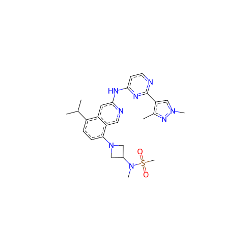 Cc1nn(C)cc1-c1nccc(Nc2cc3c(C(C)C)ccc(N4CC(N(C)S(C)(=O)=O)C4)c3cn2)n1